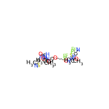 Cc1ncsc1-c1ccc(CNC(=O)[C@@H]2CCCN2C(=O)[C@@H](NC(=O)c2ccc(OCCCCCCOc3ncc(N4C(=S)N(c5ccc(C#N)c(C(F)(F)F)c5F)C(=O)C4(C)C)cc3C(F)(F)F)cc2)C(C)(C)C)cc1